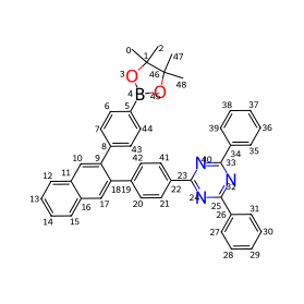 CC1(C)OB(c2ccc(-c3cc4ccccc4cc3-c3ccc(-c4nc(-c5ccccc5)nc(-c5ccccc5)n4)cc3)cc2)OC1(C)C